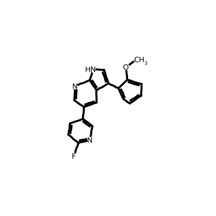 COc1ccccc1-c1c[nH]c2ncc(-c3ccc(F)nc3)cc12